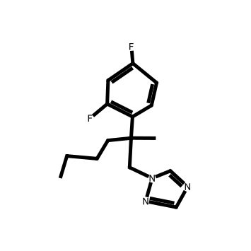 CCCCC(C)(Cn1cncn1)c1ccc(F)cc1F